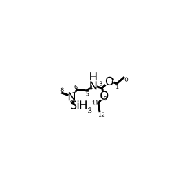 CCOC(NCCN(C)[SiH3])OCC